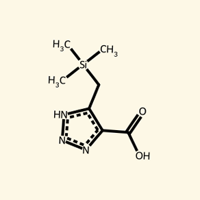 C[Si](C)(C)Cc1[nH]nnc1C(=O)O